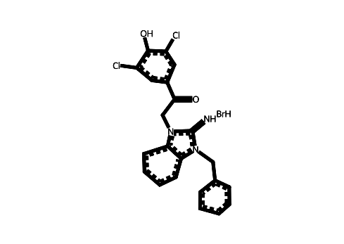 Br.N=c1n(CC(=O)c2cc(Cl)c(O)c(Cl)c2)c2ccccc2n1Cc1ccccc1